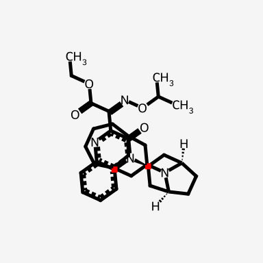 CCOC(=O)/C(=N/OC(C)C)c1nc2ccccc2n([C@H]2C[C@H]3CC[C@@H](C2)N3C2CC3CCCCC(C3)C2)c1=O